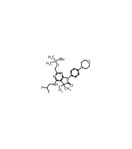 CC1(C)C(=O)N(c2ccc(N3CCOCC3)cc2)c2nc(CO[Si](C)(C)C(C)(C)C)nc(NCC(F)F)c21